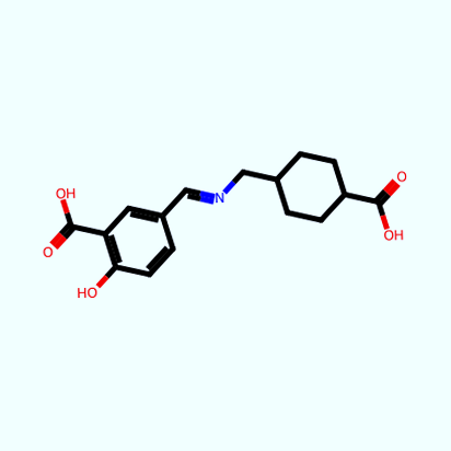 O=C(O)c1cc(/C=N/CC2CCC(C(=O)O)CC2)ccc1O